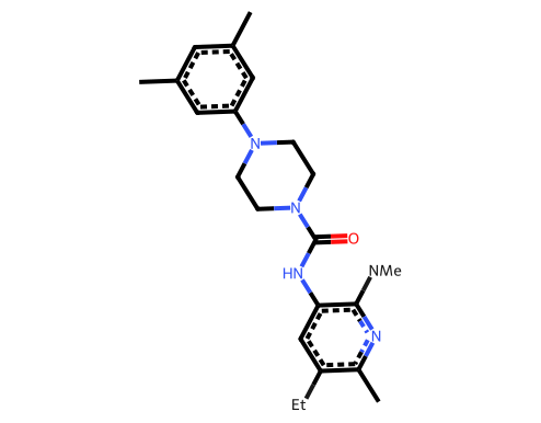 CCc1cc(NC(=O)N2CCN(c3cc(C)cc(C)c3)CC2)c(NC)nc1C